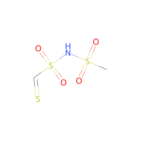 CS(=O)(=O)NS(=O)(=O)C=S